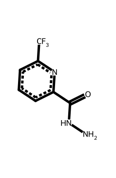 NNC(=O)c1cccc(C(F)(F)F)n1